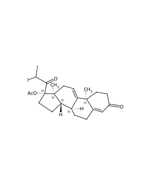 CC(=O)O[C@@]1(C(=O)C(I)I)CC[C@H]2[C@@H]3CCC4=CC(=O)CC[C@]4(C)C3=CC[C@@]21C